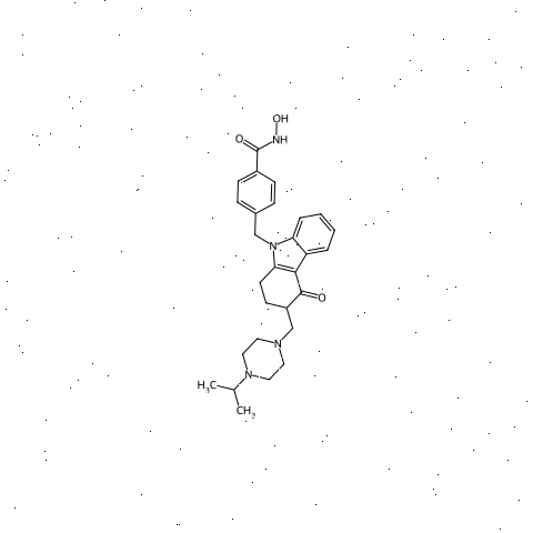 CC(C)N1CCN(CC2CCc3c(c4ccccc4n3Cc3ccc(C(=O)NO)cc3)C2=O)CC1